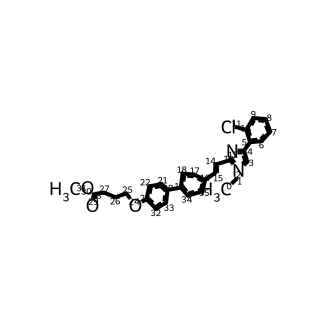 CCn1cc(-c2ccccc2Cl)nc1/C=C/c1ccc(-c2ccc(OCCCC(=O)OC)cc2)cc1